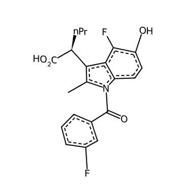 CCC[C@H](C(=O)O)c1c(C)n(C(=O)c2cccc(F)c2)c2ccc(O)c(F)c12